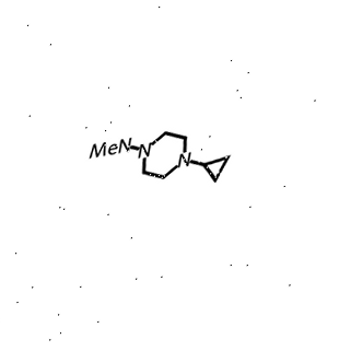 CNN1CCN(C2CC2)CC1